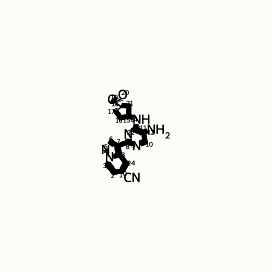 N#Cc1ccn2ncc(-c3ncc(N)c(NC4CCS(=O)(=O)C4)n3)c2c1